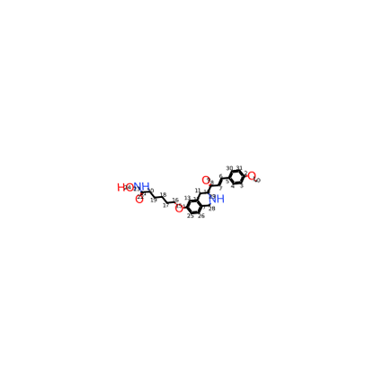 COc1ccc(/C=C/C(=O)C2Cc3cc(OCCCCCC(=O)NO)ccc3CN2)cc1